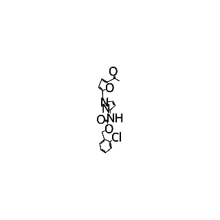 CC(=O)c1ccc(Cn2ccc(NC(=O)OCc3ccccc3Cl)n2)o1